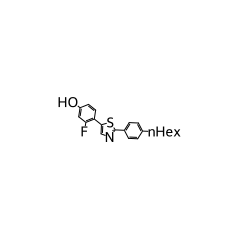 CCCCCCc1ccc(-c2ncc(-c3ccc(O)cc3F)s2)cc1